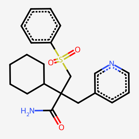 NC(=O)C(Cc1cccnc1)(CS(=O)(=O)c1ccccc1)C1CCCCC1